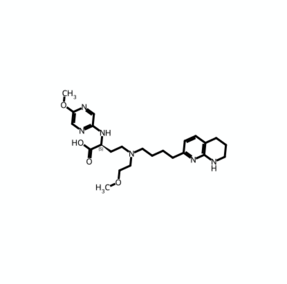 COCCN(CCCCc1ccc2c(n1)NCCC2)CC[C@H](Nc1cnc(OC)cn1)C(=O)O